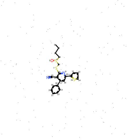 CCCC[S+]([O-])CSc1nc(-c2cccs2)cc(-c2ccccc2)c1C#N